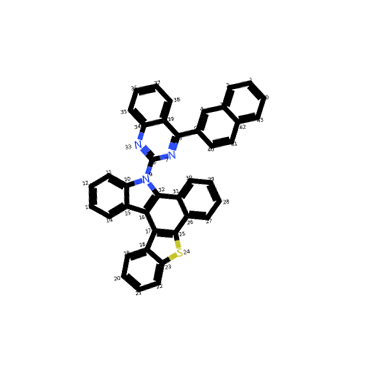 c1ccc2cc(-c3nc(-n4c5ccccc5c5c6c7ccccc7sc6c6ccccc6c54)nc4ccccc34)ccc2c1